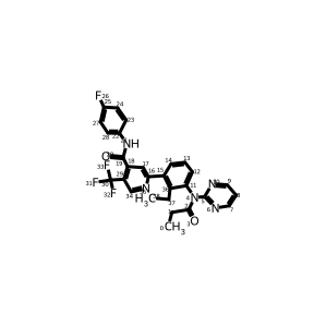 CCC(=O)N(c1ncccn1)c1cccc(-c2cc(C(=O)Nc3ccc(F)cc3)c(C(F)(F)F)cn2)c1CC